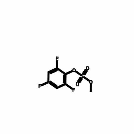 COS(=O)(=O)Oc1c(F)cc(F)cc1F